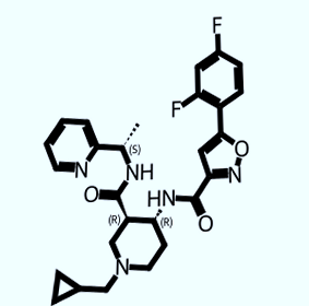 C[C@H](NC(=O)[C@@H]1CN(CC2CC2)CC[C@H]1NC(=O)c1cc(-c2ccc(F)cc2F)on1)c1ccccn1